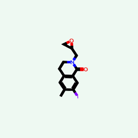 Cc1cc2c(cc1I)C(=O)N(CC1CO1)CC2